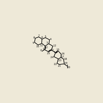 CC1=C2C(CCC3CCCCC23)CC(C2=CCC3CC(I)CCC3C2)=C1